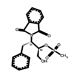 CS(=O)(=O)O[C@@H](CO)[C@H](Cc1ccccc1)N1C(=O)c2ccccc2C1=O